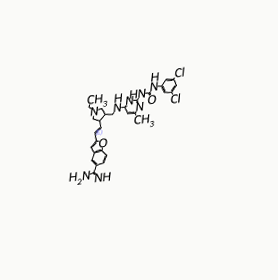 CCN1CC(/C=C/c2cc3cc(C(=N)N)ccc3o2)C(CNc2cc(C)nc(NC(=O)Nc3cc(Cl)cc(Cl)c3)n2)C1